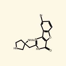 CC(=O)N[C@]1(Cc2nc3c(oc4ccc(Br)cc43)c(=O)[nH]2)CCNC1